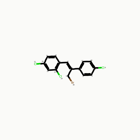 Clc1ccc(C(=Cc2ccc(Cl)cc2Cl)CBr)cc1